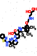 Cc1c(Nc2nc3ccccc3s2)nnc2c1CCCN2c1ccc(-c2cnn(CC34CC5(C)CC(C)(C3)CC(OCCNCCC(O)CO)(C5)C4)c2C)c(C(=O)O)n1